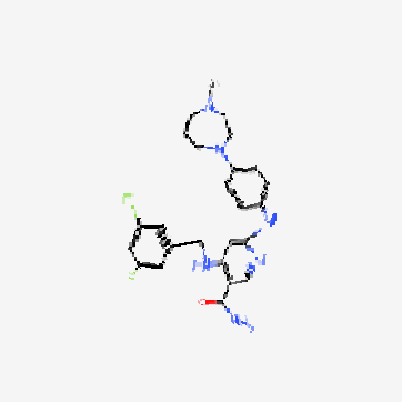 CC(=O)N1CCCN(c2ccc(Nc3cc(NCc4cc(F)cc(F)c4)c(C(N)=O)cn3)cc2)CC1